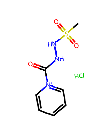 CS(=O)(=O)NNC(=O)[n+]1ccccc1.Cl